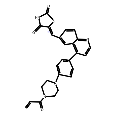 C=CC(=O)N1CCN(c2ccc(-c3ccnc4ccc(/C=C5\SC(=O)NC5=O)cc34)cc2)CC1